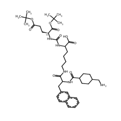 CC(C)(C)OC(=O)CC[C@H](NC(=O)NC(CCCCNC(=O)C(Cc1ccc2ccccc2c1)NC(=O)C1CCC(CN)CC1)C(=O)O)C(=O)OC(C)(C)C